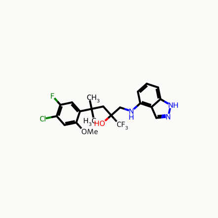 COc1cc(Cl)c(F)cc1C(C)(C)CC(O)(CNc1cccc2[nH]ncc12)C(F)(F)F